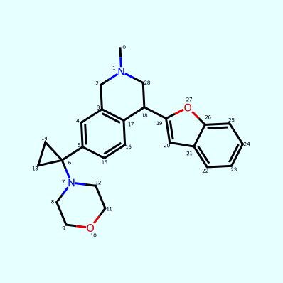 CN1Cc2cc(C3(N4CCOCC4)CC3)ccc2C(c2cc3ccccc3o2)C1